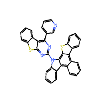 c1cncc(-c2nc(-n3c4ccccc4c4c5ccccc5c5c6ccccc6sc5c43)nc3sc4ccccc4c23)c1